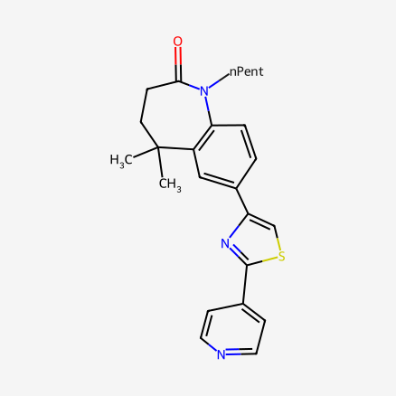 CCCCCN1C(=O)CCC(C)(C)c2cc(-c3csc(-c4ccncc4)n3)ccc21